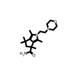 Cc1c2c(c(C)n1CCN1CCOCC1)C(C)(C(N)=O)CC2(C)C